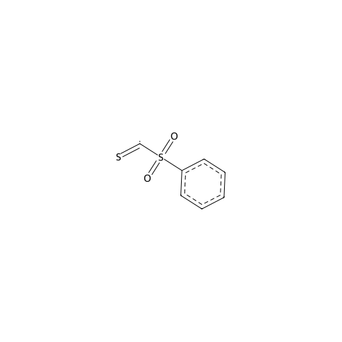 O=S(=O)([C]=S)c1ccccc1